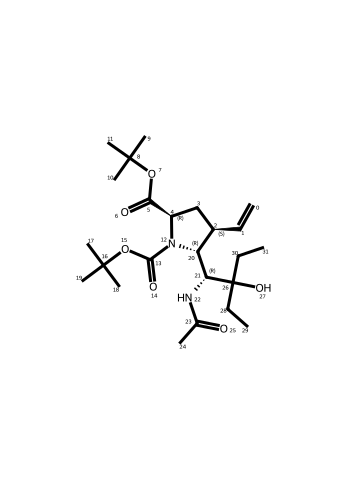 C=C[C@@H]1C[C@H](C(=O)OC(C)(C)C)N(C(=O)OC(C)(C)C)[C@H]1[C@@H](NC(C)=O)C(O)(CC)CC